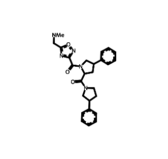 CNCc1nc(C(=O)N2CC(c3ccccc3)CC2C(=O)N2CCC(c3ccccc3)C2)no1